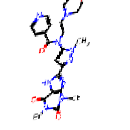 CCn1c(=O)c2[nH]c(-c3cc(N(CCN4CCOCC4)C(=O)c4ccncc4)n(C)n3)nc2n(CC)c1=O